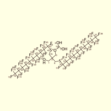 OCC(COP(O)O)(CSC(F)(F)C(F)(F)C(F)(F)C(F)(F)C(F)(F)C(F)(F)C(F)(F)C(F)(F)C(F)(F)C(F)(F)F)CSC(F)(F)C(F)(F)C(F)(F)C(F)(F)C(F)(F)C(F)(F)C(F)(F)C(F)(F)C(F)(F)C(F)(F)F